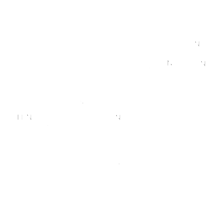 CS/C(=C\C(C)(C)N)C1=CC(C)(C)C=CC(C2=CC(C)(C)n3cnnc3C=C2)=N1